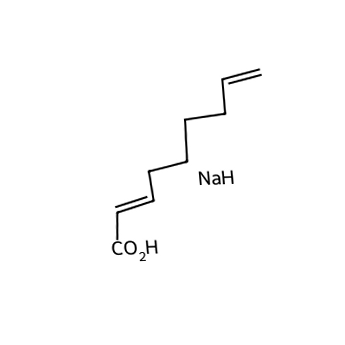 C=CCCCCC=CC(=O)O.[NaH]